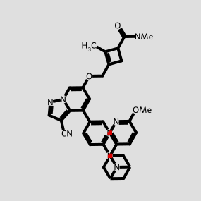 CNC(=O)C1CC(COc2cc(-c3ccc(N4CC5CC(C4)N5Cc4ccc(OC)nc4)nc3)c3c(C#N)cnn3c2)=C1C